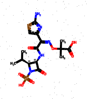 CC(C)[C@H]1[C@@H](NC(=O)C(=NOC(C)(C)C(=O)O)c2csc(N)n2)C(=O)N1S(=O)(=O)O